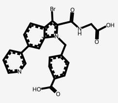 O=C(O)CNC(=O)c1c(Br)c2ccc(-c3cccnc3)cc2n1Cc1ccc(C(=O)O)cc1